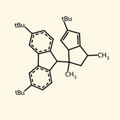 CC1CC(C)(C2c3ccc(C(C)(C)C)cc3-c3cc(C(C)(C)C)ccc32)C2C=C(C(C)(C)C)C=C12